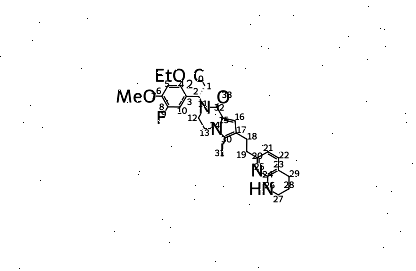 CCOC(=O)C[C@@H](c1ccc(OC)c(F)c1)N1CCn2c(cc(CCc3ccc4c(n3)NCCC4)c2I)C1=O